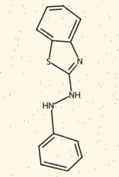 c1ccc(NNc2nc3ccccc3s2)cc1